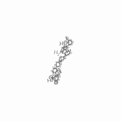 C[C@@]1(N2CCOc3c2cccc3[C@H]2CC[C@H](N3CCC(c4ccnc(-c5cc(-c6cccc(F)c6O)nnc5N)c4)CC3)CC2)CCC(=O)NC1=O